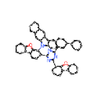 c1ccc(-c2cccc(-c3nc(-c4ccc5c(oc6ccccc65)c4-n4c5ccccc5c5cc6ccccc6cc54)nc(-c4cccc5c4oc4ccccc45)n3)c2)cc1